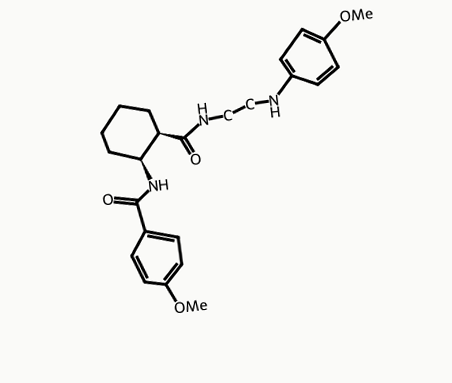 COc1ccc(NCCNC(=O)[C@@H]2CCCC[C@@H]2NC(=O)c2ccc(OC)cc2)cc1